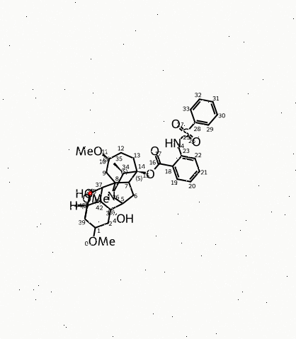 COC1C[C@]2(O)C3CC4C5(C[C@@H](OC)CC[C@@]4(OC(=O)c4ccccc4NS(=O)(=O)c4ccccc4)[C@H](C)N35)C3CC1[C@H](OC)[C@@]32O